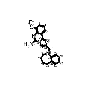 CCOc1cccc2c1nc(N)n1nc(CN3CCCCc4ccccc43)nc21